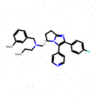 COCCN(Cc1cccc(OC)c1)C[C@@H]1CCc2nc(-c3ccc(F)cc3)c(-c3ccncc3)n21